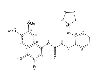 CCn1cc(OC(=O)NCc2ccccc2CN2CCCC2)c2cc(OC)c(OC)cc2c1=O